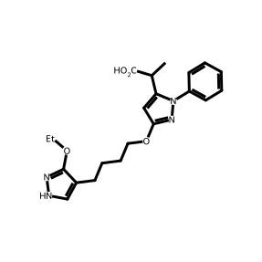 CCOc1n[nH]cc1CCCCOc1cc(C(C)C(=O)O)n(-c2ccccc2)n1